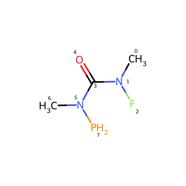 CN(F)C(=O)N(C)P